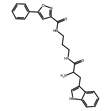 NC(Cc1c[nH]c2ccccc12)C(=O)NCCCNC(=O)c1cc(-c2ccccc2)on1